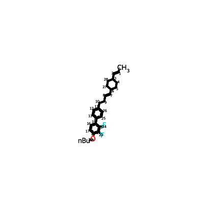 C/C=C/C1CCC(/C=C/CCc2ccc(-c3ccc(OCCCC)c(F)c3F)cc2)CC1